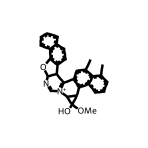 COC1(O)C2c3c(cc(C)c4c(C)cccc34)C3=[N+](C=NC4Oc5c(ccc6ccccc56)C34)C21